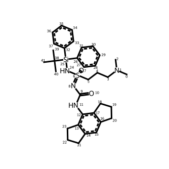 CN(C)CCCS(=O)(=NC(=O)Nc1c2c(cc3c1CCC3)CCC2)N[Si](c1ccccc1)(c1ccccc1)C(C)(C)C